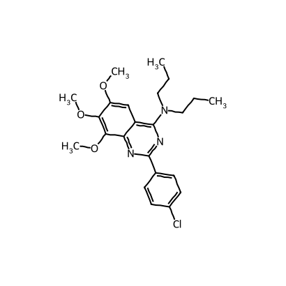 CCCN(CCC)c1nc(-c2ccc(Cl)cc2)nc2c(OC)c(OC)c(OC)cc12